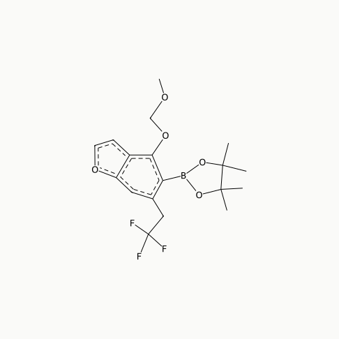 COCOc1c(B2OC(C)(C)C(C)(C)O2)c(CC(F)(F)F)cc2occc12